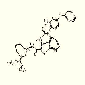 C=CC(=C)N1CCC[C@@H](NC(=O)c2sc3nccc4c3c2NC(=O)N4c2ccc(Oc3ccccc3)nc2C)C1